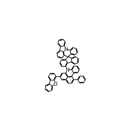 c1ccc(-c2ccccc2-c2ccccc2N(c2cccc(-c3cccc4c3oc3ccccc34)c2)c2cccc3c2-c2ccccc2C32c3ccccc3-n3c4ccccc4c4cccc2c43)cc1